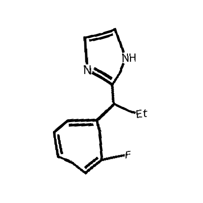 CCC(c1ncc[nH]1)c1ccccc1F